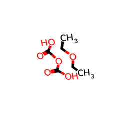 CCOCC.O=C(O)OC(=O)O